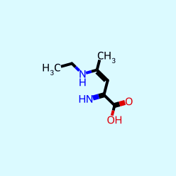 CCN/C(C)=C\C(=N)C(=O)O